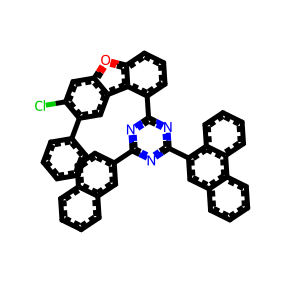 Clc1cc2oc3cccc(-c4nc(-c5ccc6ccccc6c5)nc(-c5cc6ccccc6c6ccccc56)n4)c3c2cc1-c1ccccc1